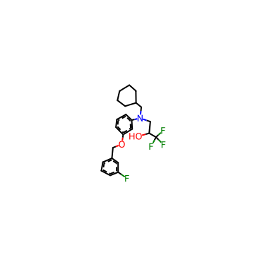 OC(CN(CC1CCCCC1)c1cccc(OCc2cccc(F)c2)c1)C(F)(F)F